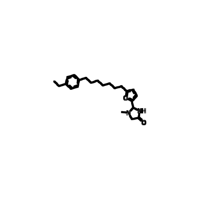 CCc1ccc(CCCCCCCc2ccc(C3NC(=O)CN3C)o2)cc1